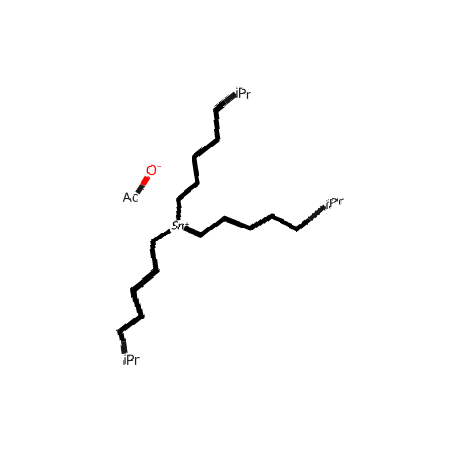 CC(=O)[O-].CC(C)CCCC[CH2][Sn+]([CH2]CCCCC(C)C)[CH2]CCCCC(C)C